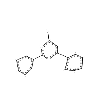 Nc1cc(-c2ccccc2)nc(-c2ccccc2)n1